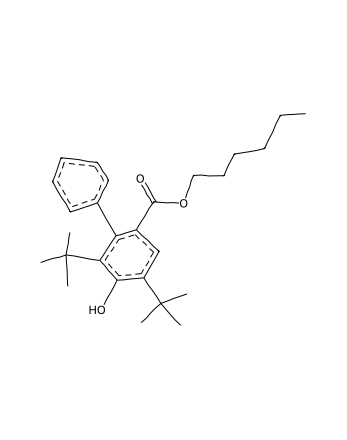 CCCCCCOC(=O)c1cc(C(C)(C)C)c(O)c(C(C)(C)C)c1-c1ccccc1